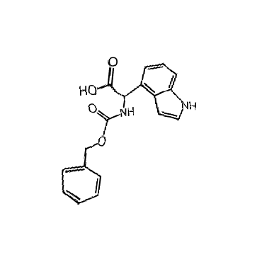 O=C(NC(C(=O)O)c1cccc2[nH]ccc12)OCc1ccccc1